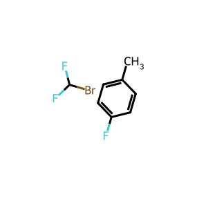 Cc1ccc(F)cc1.FC(F)Br